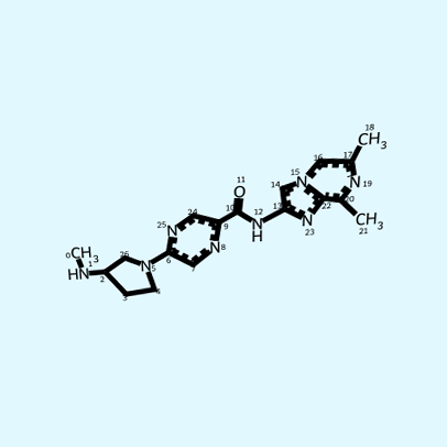 CNC1CCN(c2cnc(C(=O)Nc3cn4cc(C)nc(C)c4n3)cn2)C1